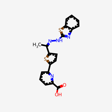 CC(=NNc1nc2ccccc2s1)c1ccc(-c2cccc(C(=O)O)n2)s1